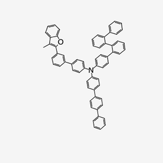 Cc1c(-c2cccc(-c3ccc(N(c4ccc(-c5ccc(-c6ccccc6)cc5)cc4)c4ccc(-c5ccccc5-c5ccccc5-c5ccccc5)cc4)cc3)c2)oc2ccccc12